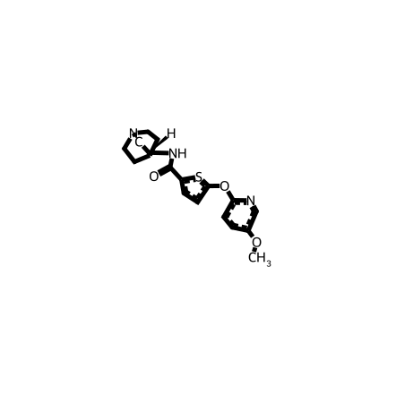 COc1ccc(Oc2ccc(C(=O)N[C@H]3CN4CCC3CC4)s2)nc1